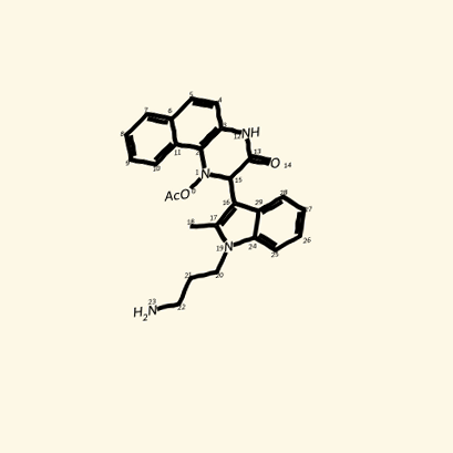 CC(=O)ON1c2c(ccc3ccccc23)NC(=O)C1c1c(C)n(CCCN)c2ccccc12